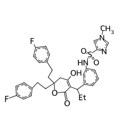 CCC(C1=C(O)CC(CCc2ccc(F)cc2)(CCc2ccc(F)cc2)OC1=O)c1cccc(NS(=O)(=O)c2cn(C)cn2)c1